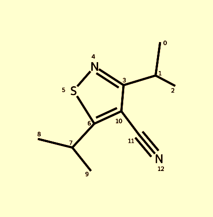 CC(C)c1nsc(C(C)C)c1C#N